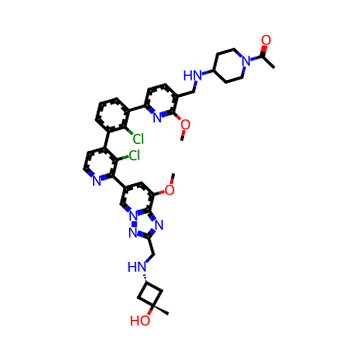 COc1nc(-c2cccc(-c3ccnc(-c4cc(OC)c5nc(CN[C@H]6C[C@@](C)(O)C6)nn5c4)c3Cl)c2Cl)ccc1CNC1CCN(C(C)=O)CC1